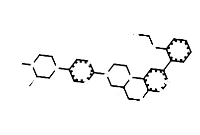 COCOc1ccccc1-c1cc2c(nn1)NC[C@H]1CN(c3ncc(N4CCN(C(=O)O)[C@H](C)C4)cn3)CCN21